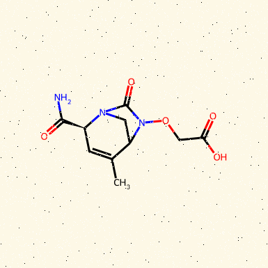 CC1=C[C@@H](C(N)=O)N2CC1N(OCC(=O)O)C2=O